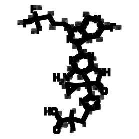 CC(C)(Cc1csc(C2(C3CC3)C(=O)Nc3nc(-c4nn(CCCC(F)(F)F)c5cnc(F)cc45)nc(N)c32)n1)C(=O)O